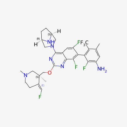 Cc1cc(N)c(F)c(-c2c(F)cc3c(N4C[C@H]5CC[C@@H](C4)N5)nc(OC[C@]4(C)CN(C)CC/C4=C\F)nc3c2F)c1C(F)(F)F